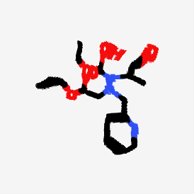 CCOC(CN(Cc1ccccn1)N(C(=O)O)C(C)C=O)OCC